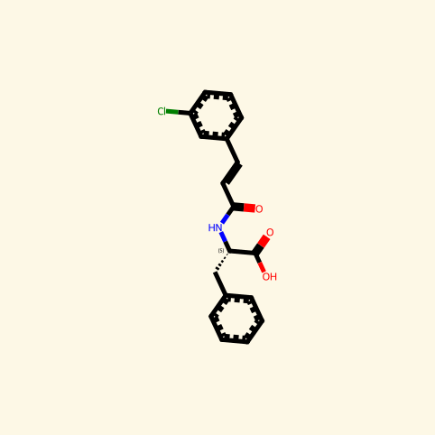 O=C(C=Cc1cccc(Cl)c1)N[C@@H](Cc1ccccc1)C(=O)O